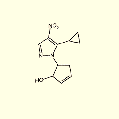 O=[N+]([O-])c1cnn(C2CC=CC2O)c1C1CC1